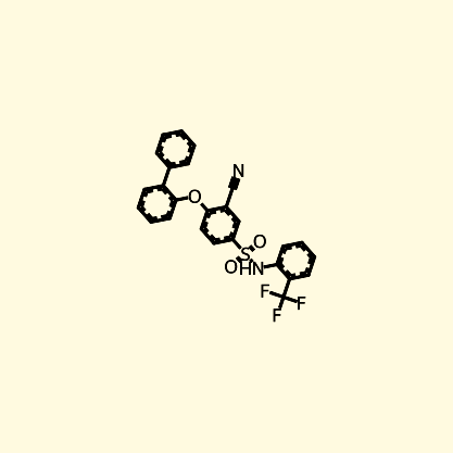 N#Cc1cc(S(=O)(=O)Nc2ccccc2C(F)(F)F)ccc1Oc1ccccc1-c1ccccc1